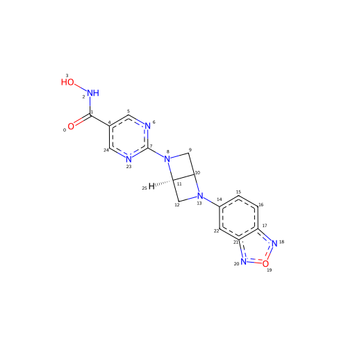 O=C(NO)c1cnc(N2CC3[C@H]2CN3c2ccc3nonc3c2)nc1